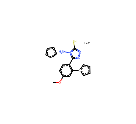 COc1ccc(-c2nnc(S)n2N)c(-[c-]2cccc2)c1.[Fe+2].c1cc[cH-]c1